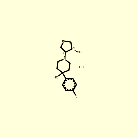 Cl.O[C@H]1CNC[C@@H]1N1CCC(O)(c2ccc(Cl)cc2)CC1